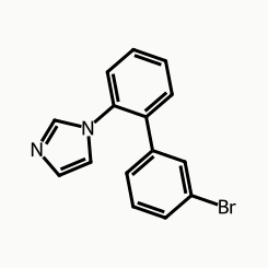 Brc1cccc(-c2ccccc2-n2ccnc2)c1